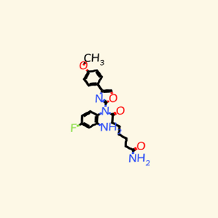 COc1ccc(-c2coc(N(C(=O)CCCCCC(N)=O)c3ccc(F)cc3N)n2)cc1